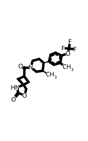 Cc1cc([C@@H]2CCN(C(=O)C3CC4(COC(=O)N4)C3)C[C@@H]2C)ccc1OC(F)(F)F